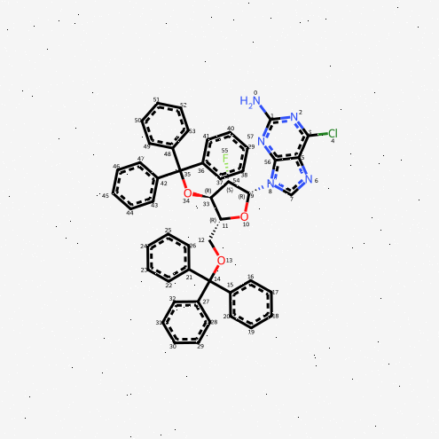 Nc1nc(Cl)c2ncn([C@@H]3O[C@H](COC(c4ccccc4)(c4ccccc4)c4ccccc4)[C@@H](OC(c4ccccc4)(c4ccccc4)c4ccccc4)[C@@H]3F)c2n1